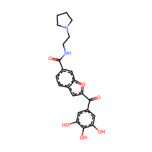 O=C(NCCN1CCCC1)c1ccc2cc(C(=O)c3cc(O)c(O)c(O)c3)oc2c1